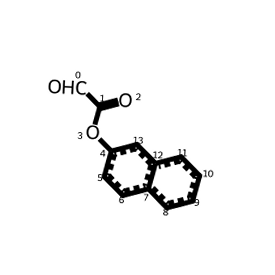 O=CC(=O)Oc1ccc2ccccc2c1